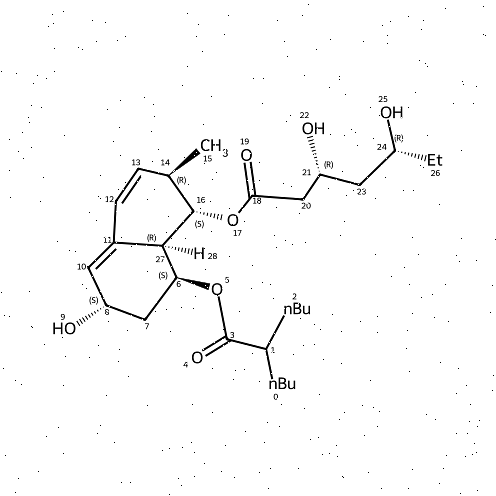 CCCCC(CCCC)C(=O)O[C@H]1C[C@H](O)C=C2C=C[C@@H](C)[C@H](OC(=O)C[C@H](O)C[C@H](O)CC)[C@H]21